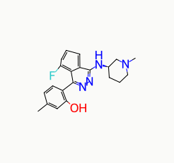 Cc1ccc(-c2nnc(N[C@@H]3CCCN(C)C3)c3cccc(F)c23)c(O)c1